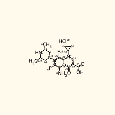 CC1CN(c2c(F)c(N)c3c(=O)c(C(=O)O)cn(C4CC4)c3c2F)CC(C)N1.Cl